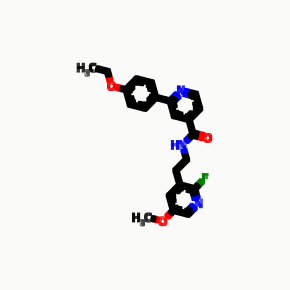 CCOc1ccc(-c2cc(C(=O)NCCc3cc(OC)cnc3F)ccn2)cc1